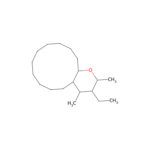 CCC1C(C)OC2CCCCCCCCCCC2C1C